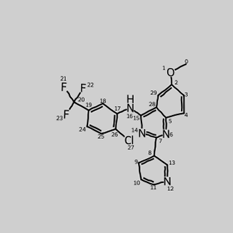 COc1ccc2nc(-c3cccnc3)nc(Nc3cc(C(F)(F)F)ccc3Cl)c2c1